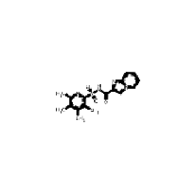 Cc1nc(S(=O)(=O)NC(=O)c2cn3ccccc3n2)c(C)c(C)c1C